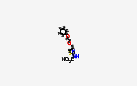 O=C(O)Nc1nc(COCCOc2ccccc2)cs1